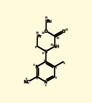 Cc1cnc(C#N)nc1N(CC(C)C)NC(=O)OC(C)(C)C